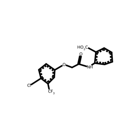 O=C(COc1ccc(Cl)c(C(F)(F)F)c1)Nc1ccccc1C(=O)O